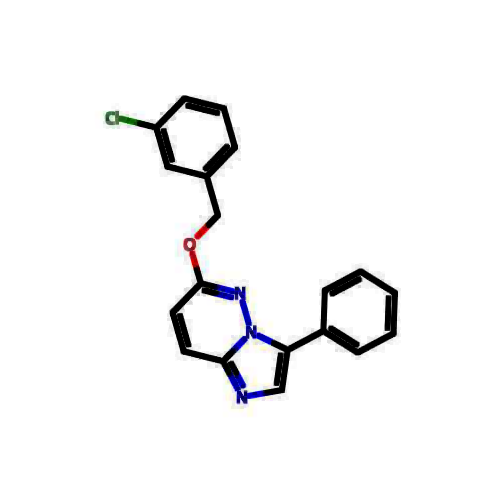 Clc1cccc(COc2ccc3ncc(-c4ccccc4)n3n2)c1